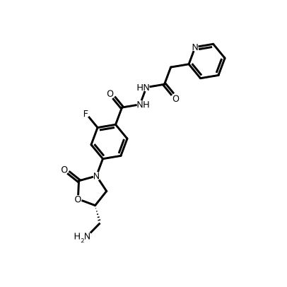 NC[C@H]1CN(c2ccc(C(=O)NNC(=O)Cc3ccccn3)c(F)c2)C(=O)O1